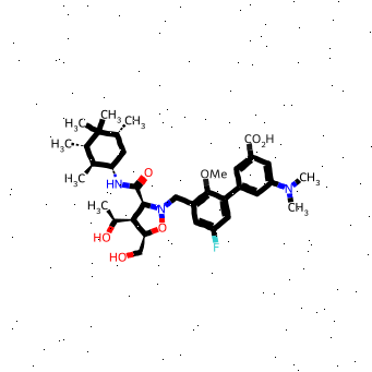 COc1c(CN2O[C@@H](CO)[C@@H]([C@H](C)O)[C@H]2C(=O)N[C@H]2C[C@@H](C)C(C)(C)[C@@H](C)[C@@H]2C)cc(F)cc1-c1cc(C(=O)O)cc(N(C)C)c1